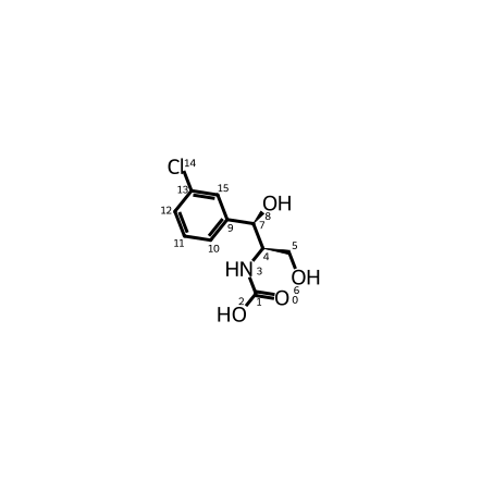 O=C(O)N[C@H](CO)[C@H](O)c1cccc(Cl)c1